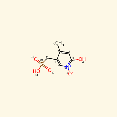 Cc1cc(O)[n+]([O-])cc1CS(=O)(=O)O